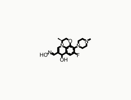 C[C@H]1COc2c(N3CCN(C)CC3)c(F)cc3c2N1C=C(/C=N/O)C3O